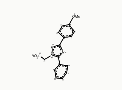 COc1ccc(-c2nc(-c3ccccc3)n(CC(=O)O)n2)cc1